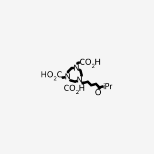 CC(C)C(=O)CCCC(C(=O)O)N1CCN(CC(=O)O)CCN(CC(=O)O)CC1